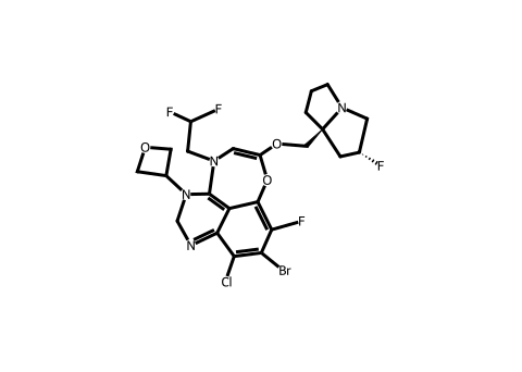 Fc1c(Br)c(Cl)c2c3c1OC(OC[C@@]14CCCN1C[C@H](F)C4)=CN(CC(F)F)C=3N(C1COC1)CN=2